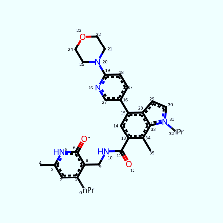 CCCc1cc(C)[nH]c(=O)c1CNC(=O)c1cc(-c2ccc(N3CCOCC3)nc2)c2ccn(C(C)C)c2c1C